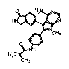 C=C(C)C(=O)Nc1ccc(-c2c(-c3ccc4c(c3)CNC4=O)c3c(N)ncnc3n2C)cc1